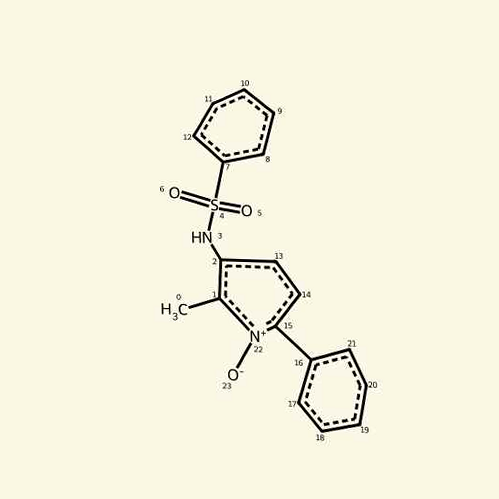 Cc1c(NS(=O)(=O)c2ccccc2)ccc(-c2ccccc2)[n+]1[O-]